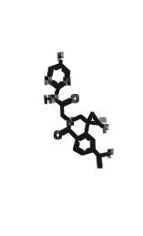 C=C(F)c1ccc2c(c1)C1(C[C@H]1F)CN(CC(=O)Nc1ncc(F)cn1)C2=O